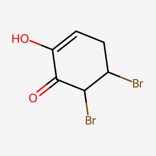 O=C1C(O)=CCC(Br)C1Br